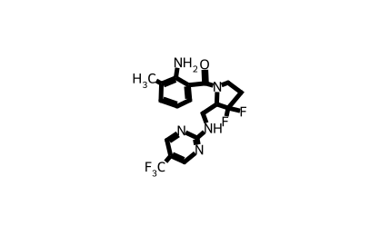 Cc1cccc(C(=O)N2CCC(F)(F)C2CNc2ncc(C(F)(F)F)cn2)c1N